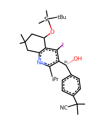 CC(C)c1nc2c(c(I)c1[C@H](O)c1ccc(C(C)(C)C#N)cc1)C(O[Si](C)(C)C(C)(C)C)CC(C)(C)C2